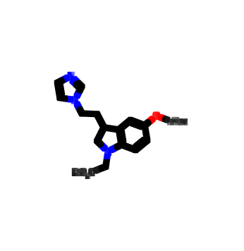 CCCCCCOc1ccc2c(c1)C(CCn1ccnc1)CN2CC(=O)OCC